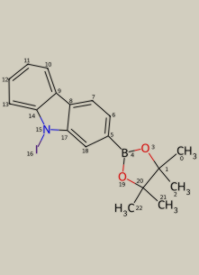 CC1(C)OB(c2ccc3c4ccccc4n(I)c3c2)OC1(C)C